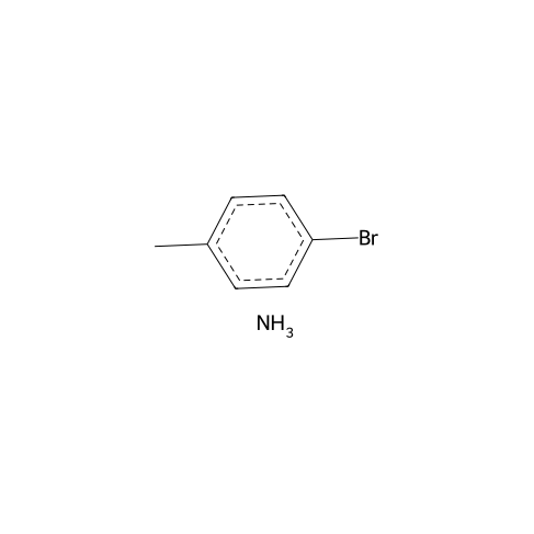 Cc1ccc(Br)cc1.N